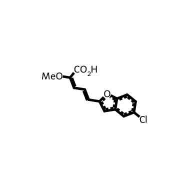 CO/C(=C/C=C/c1cc2cc(Cl)ccc2o1)C(=O)O